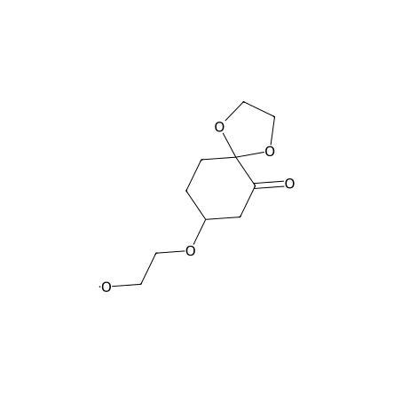 [O]CCOC1CCC2(OCCO2)C(=O)C1